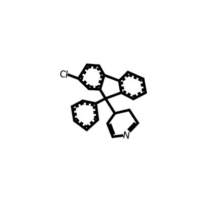 Clc1ccc2c(c1)C(c1ccccc1)(C1C=CN=CC1)c1ccccc1-2